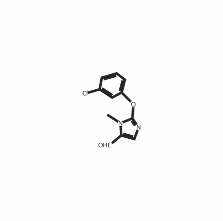 Cn1c(C=O)cnc1Oc1cccc(Cl)c1